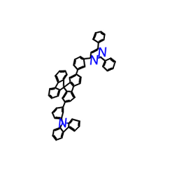 c1ccc(-c2cc(-c3cccc(-c4ccc5c(c4)C4(c6ccccc6-c6ccccc64)c4cc(-c6cccc(-n7c8ccccc8c8ccccc87)c6)ccc4-5)c3)nc(-c3ccccc3)n2)cc1